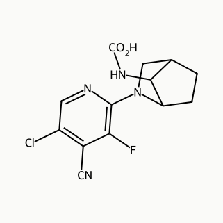 N#Cc1c(Cl)cnc(N2CC3CCC2C3NC(=O)O)c1F